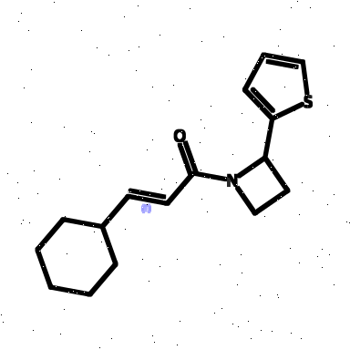 O=C(/C=C/C1CCCCC1)N1CCC1c1cccs1